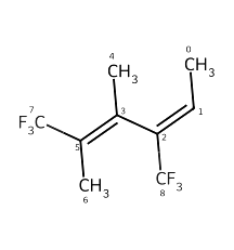 C/C=C(\C(C)=C(/C)C(F)(F)F)C(F)(F)F